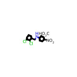 O=C(O)c1cc([N+](=O)[O-])ccc1NCc1cccc(Cl)c1Cl